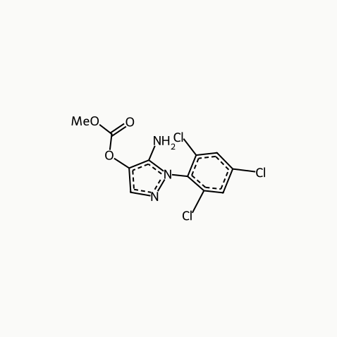 COC(=O)Oc1cnn(-c2c(Cl)cc(Cl)cc2Cl)c1N